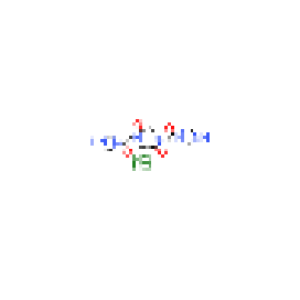 Cl.Cl.O=C(CN1CCC(=O)N(CC(=O)N2CCNCC2)CCC1=O)N1CCNCC1